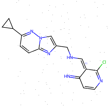 N=C1C=CN=C(Cl)/C1=C/NCc1cn2nc(C3CC3)ccc2n1